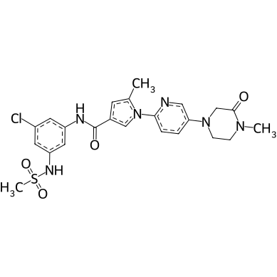 Cc1cc(C(=O)Nc2cc(Cl)cc(NS(C)(=O)=O)c2)cn1-c1ccc(N2CCN(C)C(=O)C2)cn1